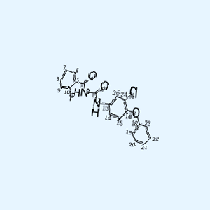 O=C(NC(=O)c1ccccc1F)Nc1ccc(Oc2ccccc2)c(Cl)c1